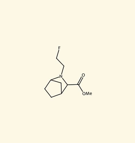 COC(=O)C1C2CCC(C2)N1CCF